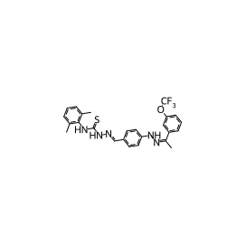 CC(=NNc1ccc(C=NNC(=S)Nc2c(C)cccc2C)cc1)c1cccc(OC(F)(F)F)c1